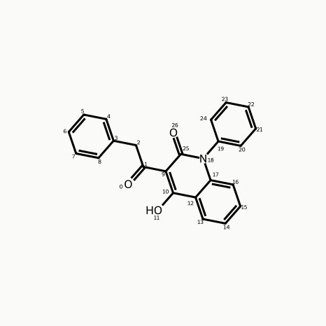 O=C(Cc1ccccc1)c1c(O)c2ccccc2n(-c2ccccc2)c1=O